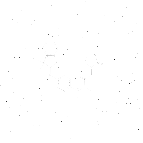 CN(C(=O)CN1CCNC1=O)[C@@H](c1ccc(NC2Cc3ccccc3C2(C)C)cn1)C(F)(F)F